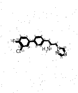 N[C@H](Cc1ccc(-c2ccc(F)c(Cl)c2)cc1)Cn1cncn1